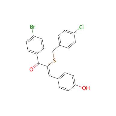 O=C(C(=Cc1ccc(O)cc1)SCc1ccc(Cl)cc1)c1ccc(Br)cc1